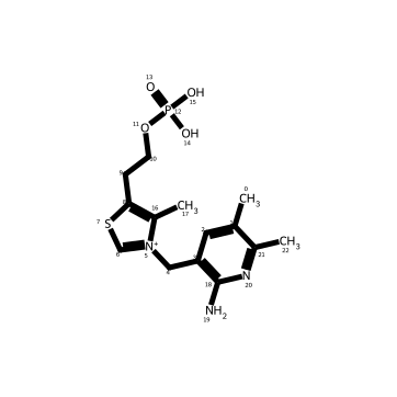 Cc1cc(C[n+]2csc(CCOP(=O)(O)O)c2C)c(N)nc1C